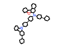 c1ccc(-c2ccc(N(c3ccc(-c4ccc(-n5c6ccccc6c6cc(-c7ccccc7)ccc65)cc4)cc3)c3cc4ccccc4c4c3oc3ccccc34)cc2)cc1